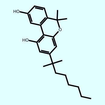 CCCCCCC(C)(C)c1cc(O)c2c(c1)OC(C)(C)c1ccc(O)cc1-2